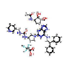 CCC(=O)N[C@H]1C[C@@H](n2cnc3c(NCC(c4ccccc4)c4ccccc4)nc(N4CC[C@@H](NC(=O)NCc5cccnc5)C4)nc32)[C@H](O)[C@@H]1O.O=C(O)C(F)(F)F